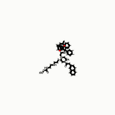 Cc1ccc(C[C@@H](CN2C[C@@H](C)N(C(=O)Cc3ccc4ccccc4c3)C[C@@H]2CCCNCCNC(=O)OC(C)(C)C)NC(c2ccccc2)(c2ccccc2)c2ccccc2)c(C)c1